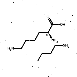 CCCCN.NCCCC[C@H](N)C(=O)O